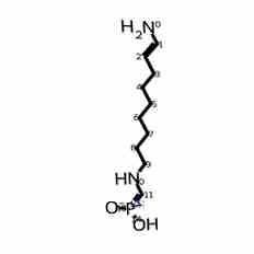 NC=CCCCCCCCN/C=[P+](\[O-])O